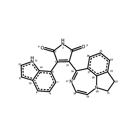 O=C1NC(=O)C(c2cccc3cc[nH]c23)=C1C1=NC=CN2CCc3cccc1c32